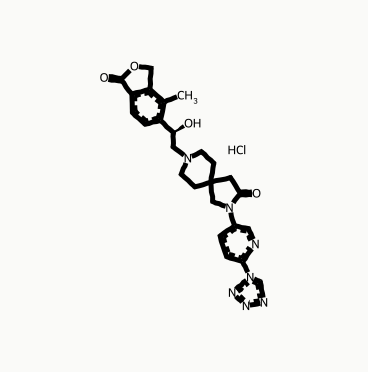 Cc1c([C@@H](O)CN2CCC3(CC2)CC(=O)N(c2ccc(-n4cnnn4)nc2)C3)ccc2c1COC2=O.Cl